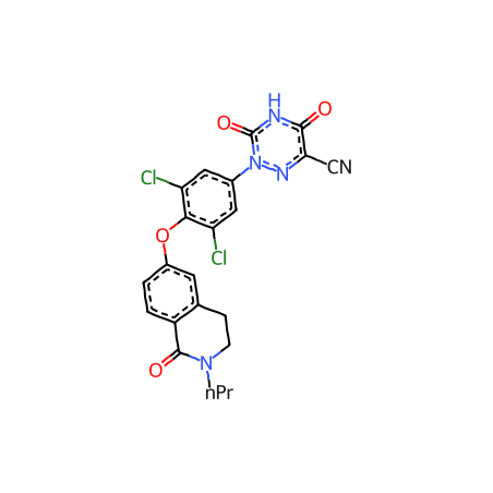 CCCN1CCc2cc(Oc3c(Cl)cc(-n4nc(C#N)c(=O)[nH]c4=O)cc3Cl)ccc2C1=O